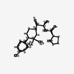 CC(C)[C@@H](NC(=O)[C@H]1CCCN1)C(=O)N1CC[C@H](c2ccc(Cl)cc2)C(C)(C)C1